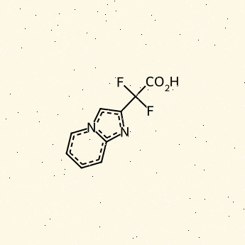 O=C(O)C(F)(F)c1cn2ccccc2n1